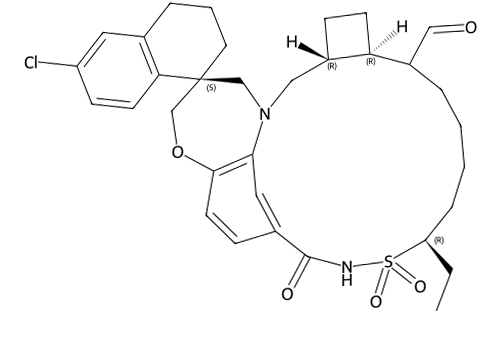 CC[C@@H]1CCCCC(C=O)[C@@H]2CC[C@H]2CN2C[C@@]3(CCCc4cc(Cl)ccc43)COc3ccc(cc32)C(=O)NS1(=O)=O